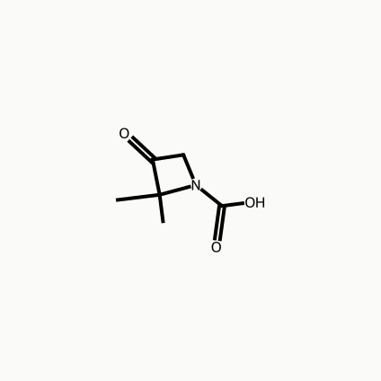 CC1(C)C(=O)CN1C(=O)O